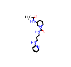 CC(=O)NC1CCCN(C(=O)NCCCNc2ccccn2)C1